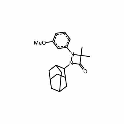 COc1cccc(N2N(C3C4CC5CC(C4)CC3C5)C(=O)C2(C)C)c1